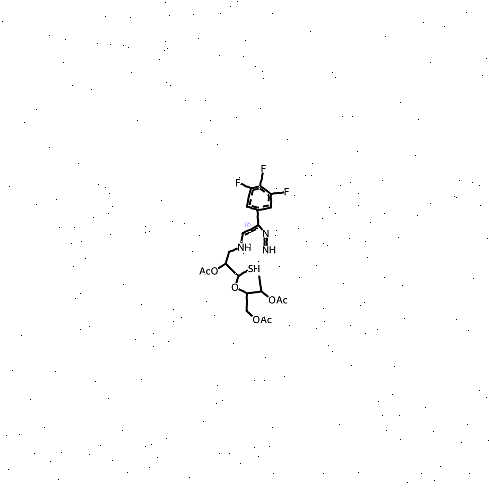 CC(=O)OCC(OC(S)C(CN/C=C(\N=N)c1cc(F)c(F)c(F)c1)OC(C)=O)C(C)OC(C)=O